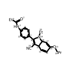 CCC(=O)Nc1ccc(C2=C(C#N)C3C=CC(OC(C)C)=CC3N2CC)cc1